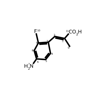 C/C(=C\c1ccc(N)cc1F)C(=O)O